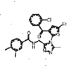 CCc1cc(C(=O)c2ccccc2Cl)c(-n2c(C)nnc2CNC(=O)c2ccc(C)c(C)c2)s1